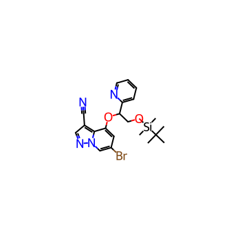 CC(C)(C)[Si](C)(C)OCC(Oc1cc(Br)cn2ncc(C#N)c12)c1ccccn1